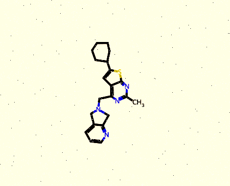 Cc1nc(CN2Cc3cccnc3C2)c2cc(C3CCCCC3)sc2n1